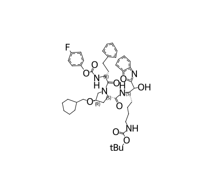 CC(C)(C)OC(=O)NCCCC[C@H](NC(=O)[C@@H]1C[C@@H](OCC2CCCCC2)CN1C(=O)[C@@H](CCc1ccccc1)NC(=O)Oc1ccc(F)cc1)C(O)c1nc2ccccc2o1